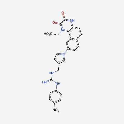 N=C(NCc1ccn(-c2ccc3ccc4[nH]c(=O)c(=O)n(CC(=O)O)c4c3c2)c1)Nc1ccc([N+](=O)[O-])cc1